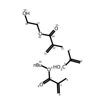 C=C(C)C(=O)O.C=C(C)C(=O)OCCCC.C=C(C)C(=O)OCCO